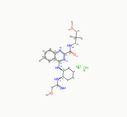 COCC(=N)N[C@@H]1CCCC[C@@H]1Nc1nc(C(=O)NCC(C)(C)COC)nc2ccc(C)cc12.Cl.Cl